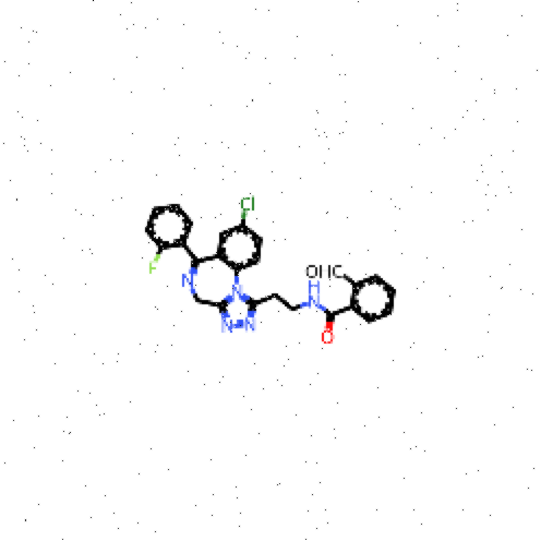 O=Cc1ccccc1C(=O)NCCc1nnc2n1-c1ccc(Cl)cc1C(c1ccccc1F)=NC2